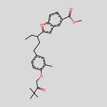 CCC(CCc1ccc(OCC(=O)C(C)(C)C)c(C)c1)c1cc2cc(C(=O)OC)ccc2o1